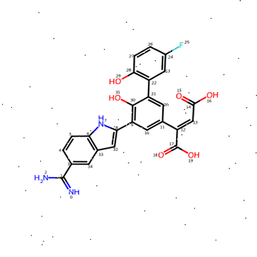 N=C(N)c1ccc2[nH]c(-c3cc(/C(=C\C(=O)O)C(=O)O)cc(-c4cc(F)ccc4O)c3O)cc2c1